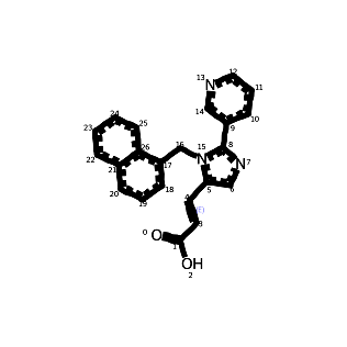 O=C(O)/C=C/c1cnc(-c2cccnc2)n1Cc1cccc2ccccc12